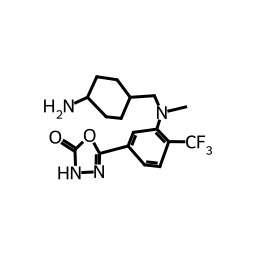 CN(CC1CCC(N)CC1)c1cc(-c2n[nH]c(=O)o2)ccc1C(F)(F)F